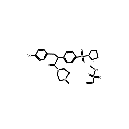 C=CS(=O)(=O)NC[C@H]1CCCN1S(=O)(=O)c1ccc(C(Cc2ccc(C(F)(F)F)cc2)C(=O)N2CCN(C)CC2)cc1